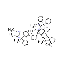 C=C/C=C\C(=C/C)C1(C)c2ccccc2-c2c(-c3cccc(N(/C(C=C)=C4/C(=C\C)C(c5ccccc5)(c5ccccc5)c5ccccc54)c4ccc5c(c4)C(C)(C)c4ccccc4-5)c3)cccc21